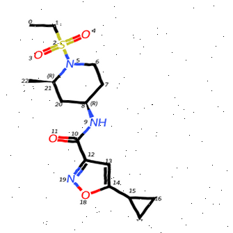 CCS(=O)(=O)N1CC[C@@H](NC(=O)c2cc(C3CC3)on2)C[C@H]1C